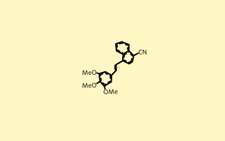 COc1cc(/C=C/c2ccc(C#N)c3ccccc23)cc(OC)c1OC